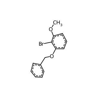 COc1cccc(OCc2ccccc2)c1Br